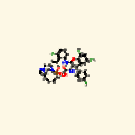 O=C(O)N[C@H](C(=O)Nc1cccc(F)c1CC[C@H]1CN[C@@H]2CCCCS(=O)(=O)N1C2)[C@@H](c1ccc(F)cc1)c1cc(F)cc(F)c1